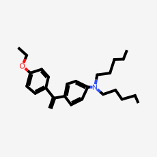 C=C(c1ccc(OCC)cc1)c1ccc(N(CCCCC)CCCCC)cc1